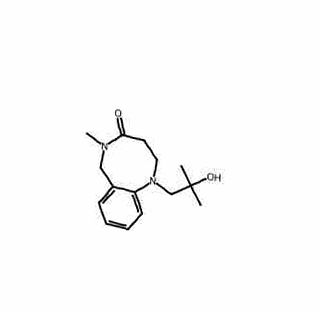 CN1Cc2ccccc2N(CC(C)(C)O)CCC1=O